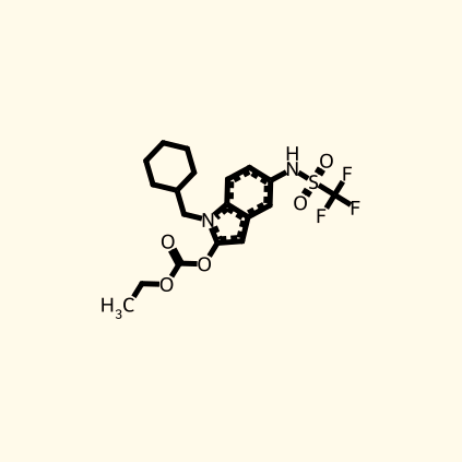 CCOC(=O)Oc1cc2cc(NS(=O)(=O)C(F)(F)F)ccc2n1CC1CCCCC1